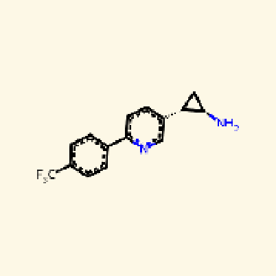 N[C@@H]1C[C@H]1c1ccc(-c2ccc(C(F)(F)F)cc2)nc1